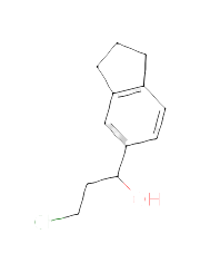 OC(CCCl)c1ccc2c(c1)CCC2